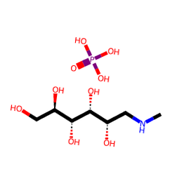 CNC[C@H](O)[C@@H](O)[C@H](O)[C@H](O)CO.O=P(O)(O)O